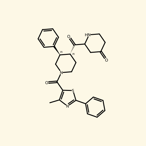 Cc1nc(-c2ccccc2)sc1C(=O)N1CC[C@@H](C(=O)C2CC(=O)CCN2)[C@H](c2ccccc2)C1